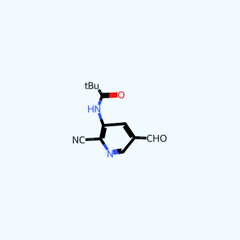 CC(C)(C)C(=O)Nc1cc(C=O)cnc1C#N